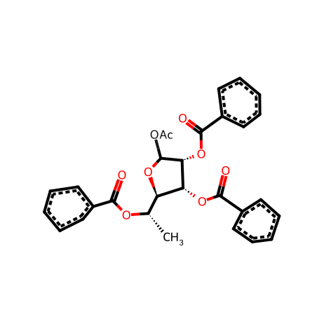 CC(=O)OC1O[C@H]([C@H](C)OC(=O)c2ccccc2)[C@@H](OC(=O)c2ccccc2)[C@H]1OC(=O)c1ccccc1